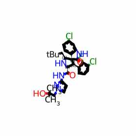 CC(C)(C)C[C@@H]1N[C@@H](C(=O)Nc2ccn(CC(C)(C)O)n2)[C@H](c2cccc(Cl)c2F)[C@]12C(=O)Nc1cc(Cl)ccc12